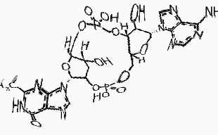 Cc1nc2c(ncn2[C@@H]2O[C@@H]3COP(=O)(O)O[C@@H]4C(O)[C@H](n5cnc6c(N)ncnc65)O[C@@H]4COP(=O)(O)OC2[C@H]3O)c(=O)[nH]1